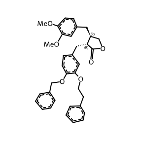 COc1ccc(C[C@H]2COC(=O)[C@@H]2Cc2ccc(OCc3ccccc3)c(OCCc3ccccc3)c2)cc1OC